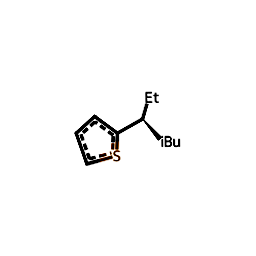 CCC(C)[C@H](CC)c1cccs1